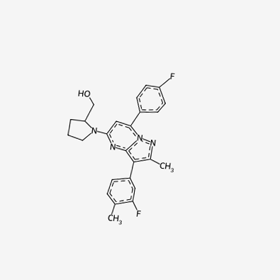 Cc1ccc(-c2c(C)nn3c(-c4ccc(F)cc4)cc(N4CCCC4CO)nc23)cc1F